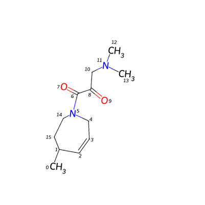 CC1C=CCN(C(=O)C(=O)CN(C)C)CC1